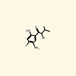 CC(C)C(Br)C(=O)c1cc(N)c(F)cc1O